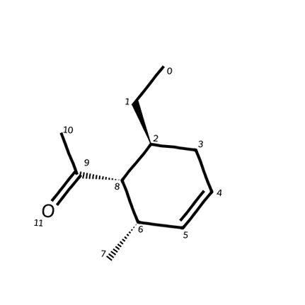 CC[C@H]1CC=C[C@H](C)[C@@H]1C(C)=O